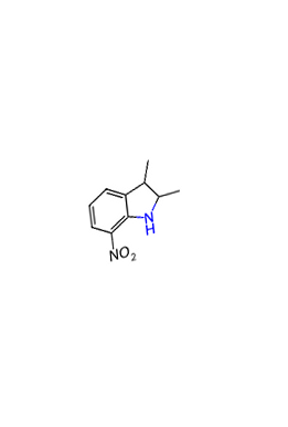 CC1Nc2c(cccc2[N+](=O)[O-])C1C